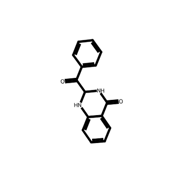 O=C1NC(C(=O)c2ccccc2)Nc2ccccc21